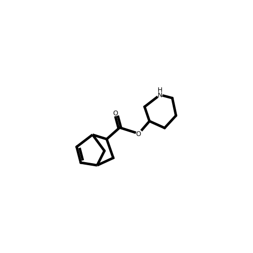 O=C(OC1CCCNC1)C1CC2C=CC1C2